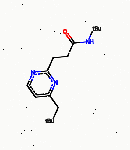 CC(C)(C)Cc1ccnc(CCC(=O)NC(C)(C)C)n1